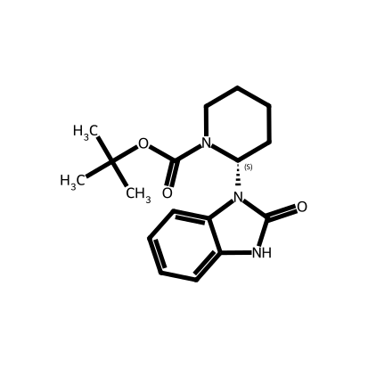 CC(C)(C)OC(=O)N1CCCC[C@@H]1n1c(=O)[nH]c2ccccc21